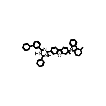 CC1CCCc2c1c1ccccc1n2C1(C)C=Cc2c(oc3cc(C4N=C(c5cccc(C6C=CC=CC6)c5)NC(C5=CCCC=C5)N4)ccc23)C1